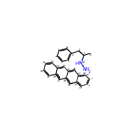 CC(Cc1ccccc1)NN.c1ccc2cc3cc4ccccc4cc3cc2c1